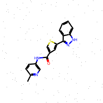 Cc1ccc(NC(=O)c2csc(-c3n[nH]c4ccccc34)c2)cn1